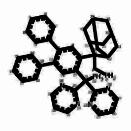 PCC1(c2cc(-c3ccccc3)c(-c3ccccc3)cc2C(P)(c2ncccn2)c2ncccn2)C2CC3CC(C2)CC1C3